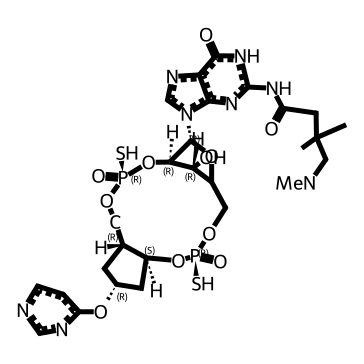 CNCC(C)(C)CC(=O)Nc1nc2c(ncn2[C@@H]2OC3CO[P@@](=O)(S)O[C@H]4C[C@H](Oc5ccncn5)C[C@@H]4CO[P@@](=O)(S)O[C@@H]2[C@@H]3O)c(=O)[nH]1